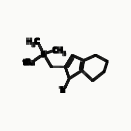 CC(C)(C)[Si](C)(C)CC1=CC2=C(CCCC2)[CH]1[Ti]